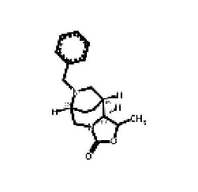 CC1OC(=O)N2C[C@H]3CC[C@H](CN3Cc3ccccc3)[C@@H]12